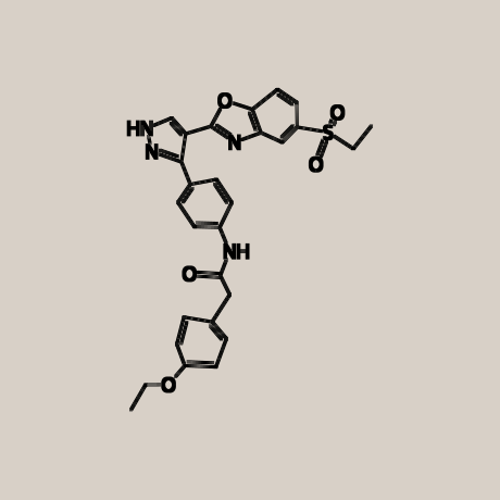 CCOc1ccc(CC(=O)Nc2ccc(-c3n[nH]cc3-c3nc4cc(S(=O)(=O)CC)ccc4o3)cc2)cc1